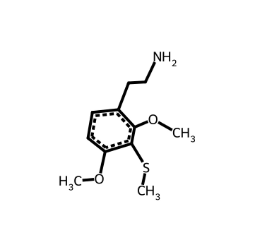 COc1ccc(CCN)c(OC)c1SC